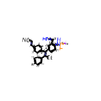 CC/C(=C(/c1ccc(/C=C/C#N)cc1)c1ccc(NPI)c(C=N)c1)c1ccccc1